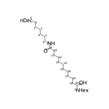 CCCCCCCCCCCCCCCCNC(=O)CCCCCCCCCCC(O)CCCCCC